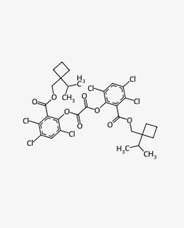 CC(C)C1(COC(=O)c2c(Cl)c(Cl)cc(Cl)c2OC(=O)C(=O)Oc2c(Cl)cc(Cl)c(Cl)c2C(=O)OCC2(C(C)C)CCC2)CCC1